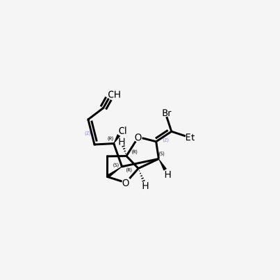 C#C/C=C\[C@@H](Cl)[C@@H]1C2C[C@H]3O/C(=C(\Br)CC)[C@@H]1[C@H]3O2